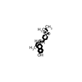 CC(C)CS(=O)(=O)N1CCC(CN(C)C23Cc4ccc(O)cc4C(C)(CCN2C)C3)CC1